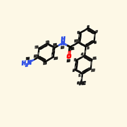 CC(=O)c1ccc(-c2ccccc2C(=O)Nc2ccc(N)cc2)cc1